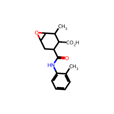 Cc1ccccc1NC(=O)C1CC2OC2C(C)C1C(=O)O